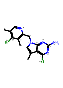 Cc1cnc(Cn2cc(C)c3c(Cl)nc(N)nc32)c(C)c1Br